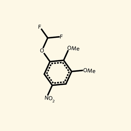 COc1cc([N+](=O)[O-])cc(OC(F)F)c1OC